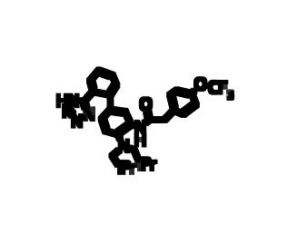 CC(C)CN(CC(C)C)c1ccc(-c2ccccc2-c2nnn[nH]2)cc1NC(=O)Cc1ccc(OC(F)(F)F)cc1